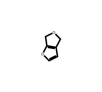 c1cc2c(o1)COC2